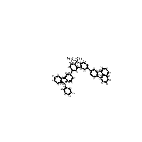 CC1(C)c2ccc(-c3ccc4c(c3)-c3cccc5cccc-4c35)cc2-c2cc(-c3ccc4c(c3)c3ccccc3n4-c3ccccc3)ccc21